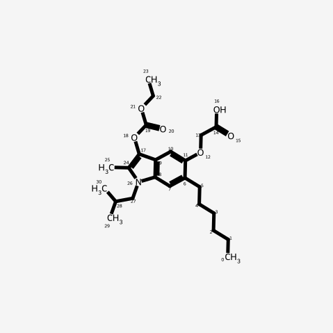 CCCCCCc1cc2c(cc1OCC(=O)O)c(OC(=O)OCC)c(C)n2CC(C)C